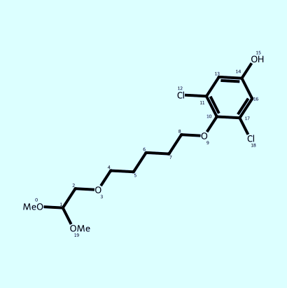 COC(COCCCCCOc1c(Cl)cc(O)cc1Cl)OC